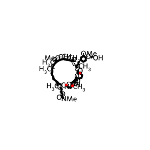 CNC(=O)OCCO[C@H]1C[C@@H]2CC[C@@H](C)[C@@](O)(O2)C(=O)C(=O)N2CCCC[C@H]2C(=O)O[C@H]([C@H](C)C[C@@H]2CC[C@@H](OCCO)[C@H](OC)C2)CC(=O)[C@H](C)/C=C(\C)[C@@H](O)[C@@H](OC)C(=O)[C@H](C)C[C@H](C)/C=C/C=C/C=C/1C